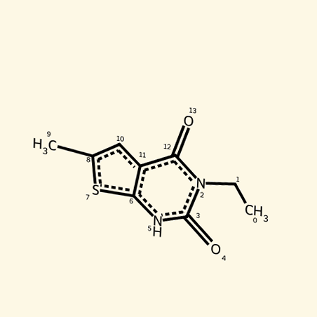 CCn1c(=O)[nH]c2sc(C)cc2c1=O